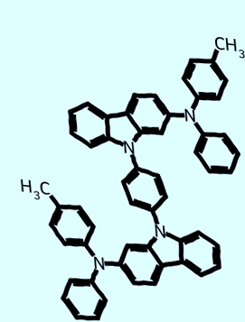 Cc1ccc(N(c2ccccc2)c2ccc3c4ccccc4n(-c4ccc(-n5c6ccccc6c6ccc(N(c7ccccc7)c7ccc(C)cc7)cc65)cc4)c3c2)cc1